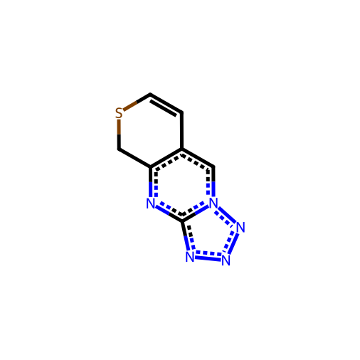 C1=Cc2cn3nnnc3nc2CS1